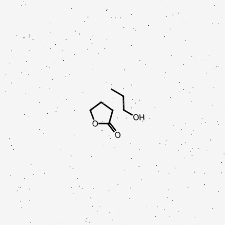 CCCO.O=C1CCCO1